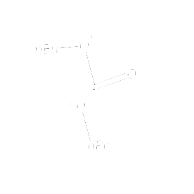 CCCCOC(=O)OCCC